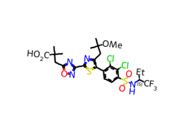 CC[C@H](NS(=O)(=O)c1ccc(-c2sc(-c3noc(CC(C)(C)C(=O)O)n3)nc2CC(C)(C)OC)c(Cl)c1Cl)C(F)(F)F